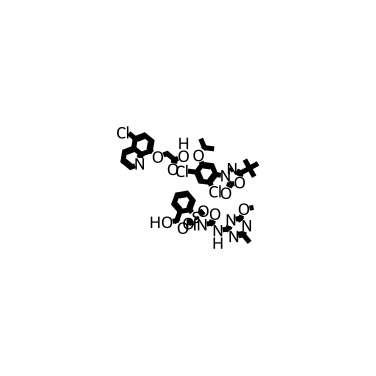 CC(C)Oc1cc(-n2nc(C(C)(C)C)oc2=O)c(Cl)cc1Cl.COc1nc(C)nc(NC(=O)NS(=O)(=O)c2ccccc2C(=O)O)n1.O=C(O)COc1ccc(Cl)c2cccnc12